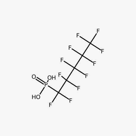 O=P(O)(O)C(F)(F)C(F)(F)C(F)(F)C(F)(F)C(F)(F)F